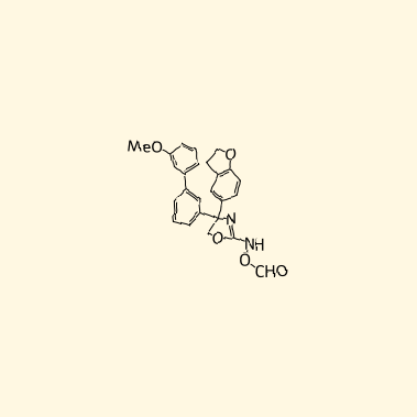 COc1cccc(-c2cccc(C3(c4ccc5c(c4)CCO5)COC(NOC=O)=N3)c2)c1